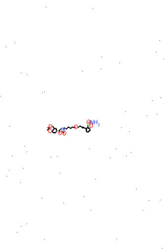 CC1(C)OCc2cc([C@@H]3CN(CCCCCCOCCC#Cc4ccccc4CS(N)(=O)=O)C(=O)O3)ccc2O1